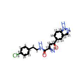 O=C(NCCc1ccc(Cl)cc1)c1cc(-c2ccc3[nH]ncc3c2)on1